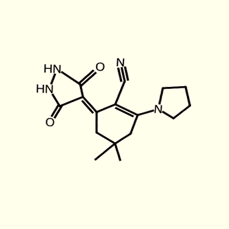 CC1(C)CC(=C2C(=O)NNC2=O)C(C#N)=C(N2CCCC2)C1